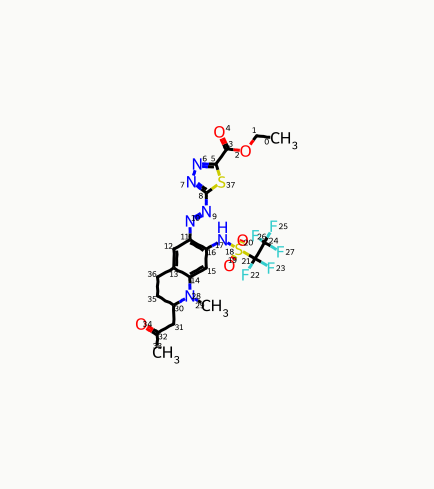 CCOC(=O)c1nnc(N=Nc2cc3c(cc2NS(=O)(=O)C(F)(F)C(F)(F)F)N(C)C(CC(C)=O)CC3)s1